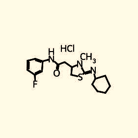 CN1/C(=N/C2CCCCC2)SCC1CC(=O)Nc1cccc(F)c1.Cl